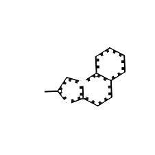 Cc1cn2c(ccc3ccccc32)n1